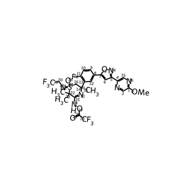 COc1cnc(-c2cc(-c3ccc(F)c([C@]4(C)C[S@](=O)(=NCC(F)(F)F)C(C)(C)C(NOC(=O)C(F)(F)F)=N4)c3)on2)cn1